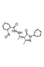 CC1=NN(c2ccccc2)C(=O)/C1=C(/C)NNC(=O)c1ccccc1N=O